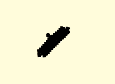 BrC(Br)(Br)C(Br)(Br)C(Br)(Br)C(Br)(Br)C(Br)(Br)C(Br)(Br)C(Br)(Br)C(Br)(Br)C(Br)(Br)C(Br)(Br)C(Br)(Br)C(Br)(Br)C(Br)(Br)C(Br)(Br)Br.O=[SH](=O)O